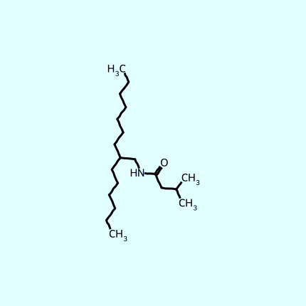 CCCCCCCC(CCCCCC)CNC(=O)CC(C)C